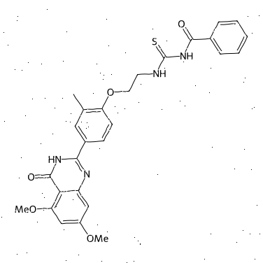 COc1cc(OC)c2c(=O)[nH]c(-c3ccc(OCCNC(=S)NC(=O)c4ccccc4)c(C)c3)nc2c1